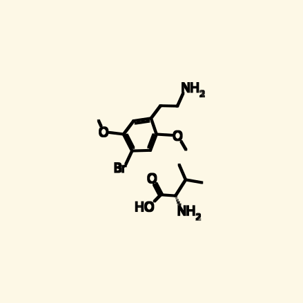 CC(C)[C@H](N)C(=O)O.COc1cc(CCN)c(OC)cc1Br